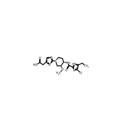 CCc1[nH]c(C(=O)N[C@@H]2CCN(c3nc(CC(=O)O)cs3)C[C@@H]2OC)nc1Cl